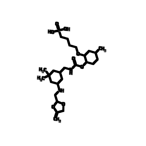 C=C1COC(CNC2CC(CNC(=O)OC3CCC(C)CC3OCCCCP(=O)(O)O)CC(C)(C)C2)O1